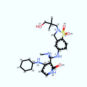 C/N=C(/Nc1ccc2c(c1)CN(CC(C)(C)CO)S2(=O)=O)c1c(NC2CCCCC2)cc[nH]c1=O